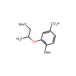 COCC(C)Oc1cc(C(=O)O)ccc1SC